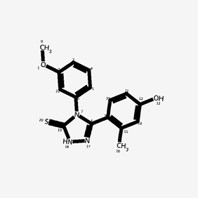 COc1cccc(-n2c(-c3ccc(O)cc3C)n[nH]c2=S)c1